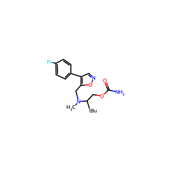 CN(Cc1oncc1-c1ccc(F)cc1)C(COC(N)=O)C(C)(C)C